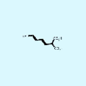 CCCC=CC=CC(C(=O)O)C(=O)O